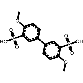 COc1ccc(-c2ccc(OC)c(S(=O)(=O)O)c2)cc1S(=O)(=O)O